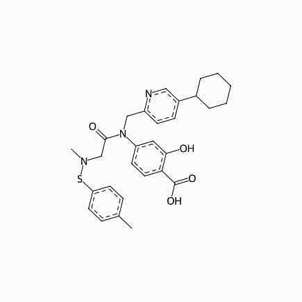 Cc1ccc(SN(C)CC(=O)N(Cc2ccc(C3CCCCC3)cn2)c2ccc(C(=O)O)c(O)c2)cc1